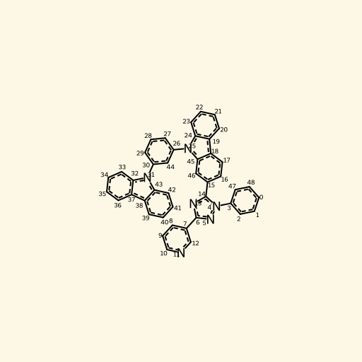 c1ccc(-n2nc(-c3cccnc3)nc2-c2ccc3c4ccccc4n(-c4cccc(-n5c6ccccc6c6ccccc65)c4)c3c2)cc1